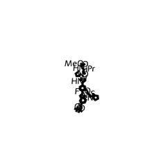 COC(=O)N[C@H](C(=O)N1CCC[C@H]1c1ncc(-c2cc(F)c3c(c2)OC(c2nc4c(s2)CCC4)n2c-3cc3cc(B4OC(C)(C)C(C)(C)O4)ccc32)[nH]1)C(C)C